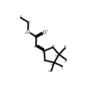 CCOC(=O)C=C1CC(C)(C)C(C)(C)C1